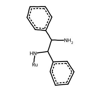 NC(c1ccccc1)C([NH][Ru])c1ccccc1